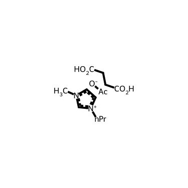 CC(=O)[O-].CCC[n+]1ccn(C)c1.O=C(O)CCC(=O)O